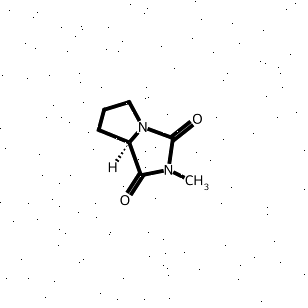 CN1C(=O)[C@H]2CCCN2C1=O